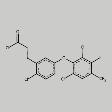 O=C(Cl)CCc1cc(Oc2c(Cl)cc(C(F)(F)F)c(F)c2Cl)ccc1Cl